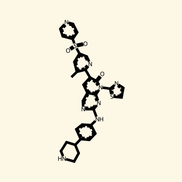 Cc1cc(S(=O)(=O)c2ccncc2)cnc1-c1cc2cnc(Nc3ccc(C4CCNCC4)cc3)nc2n(-c2nccs2)c1=O